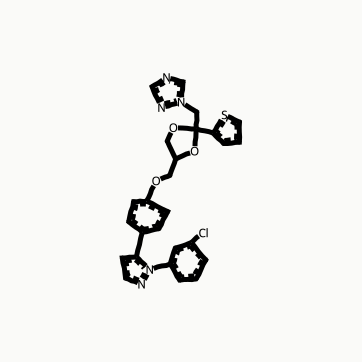 Clc1cccc(-n2nccc2-c2ccc(OCC3COC(Cn4cncn4)(c4cccs4)O3)cc2)c1